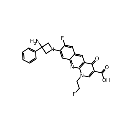 NC1(c2ccccc2)CN(c2cc3nc4c(cc3cc2F)c(=O)c(C(=O)O)cn4CCF)C1